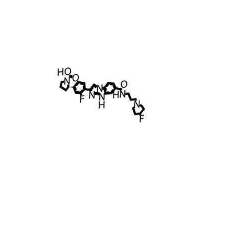 O=C(NCCCN1CCC(F)CC1)c1ccc2c(c1)[nH]c1nc(-c3ccc([C@@H]4CCCN4C(=O)O)cc3F)cn12